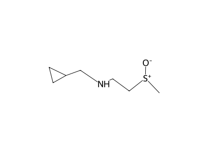 C[S+]([O-])CCNCC1CC1